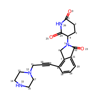 O=C1CCC(N2Cc3c(C#CCN4CCNCC4)cccc3C2=O)C(=O)N1